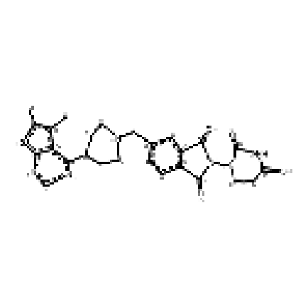 Cc1sc2ncnc(C3CCN(Cc4ccc5c(c4)C(=O)N(N4CCC(=O)NC4=O)C5=O)CC3)c2c1C